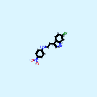 O=[N+]([O-])c1ccc(NCCc2c[nH]c3cc(Br)ccc23)cc1